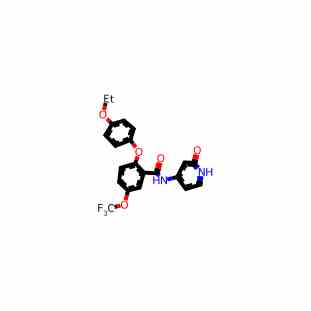 CCOc1ccc(Oc2ccc(OC(F)(F)F)cc2C(=O)Nc2cc[nH]c(=O)c2)cc1